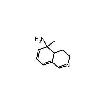 CC1(N)C=CC=C2C=NCCC21